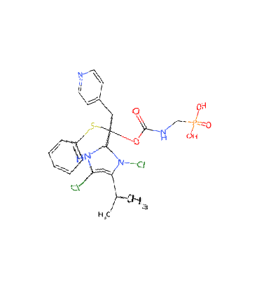 CC(C)C1=C(Cl)NC(C(Cc2ccncc2)(OC(=O)NCP(=O)(O)O)Sc2ccccc2)N1Cl